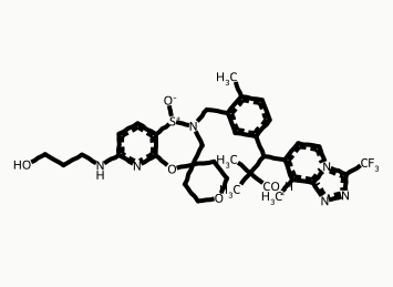 Cc1ccc(C(c2ccn3c(C(F)(F)F)nnc3c2C)C(C)(C)C(=O)O)cc1CN1CC2(CCOCC2)Oc2nc(NCCCO)ccc2[S+]1[O-]